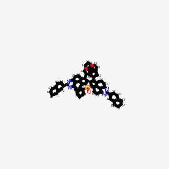 O=P(c1ccccc1)(c1cc(-c2ccc3ccccc3c2)c2ccc3nc(-c4ccc5ccccc5c4)nc4ccc1c2c34)c1cc(-c2ccc3ccccc3c2)c2ccc3nc(-c4ccc5ccccc5c4)nc4ccc1c2c34